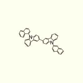 c1ccc2cc(-n3c4ccccc4c4cc(-c5ccc6c(c5)c5ccccc5n6-c5cccc6ccccc56)ccc43)ccc2c1